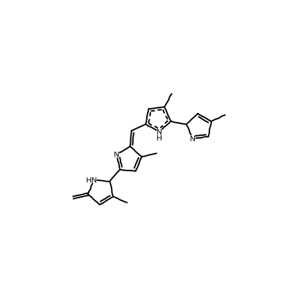 C=C1C=C(C)C(C2=N/C(=C/c3cc(C)c(C4C=C(C)C=N4)[nH]3)C(C)=C2)N1